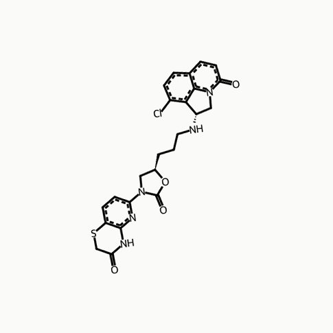 O=C1CSc2ccc(N3C[C@@H](CCCN[C@H]4Cn5c(=O)ccc6ccc(Cl)c4c65)OC3=O)nc2N1